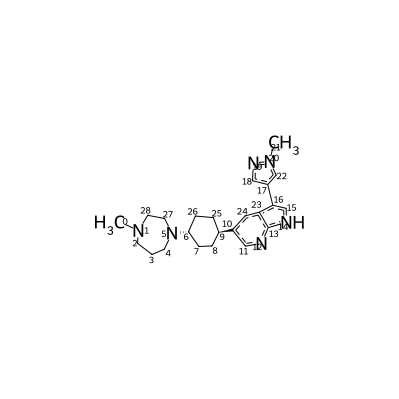 CN1CCCN([C@H]2CC[C@H](c3cnc4[nH]cc(-c5cnn(C)c5)c4c3)CC2)CC1